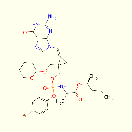 CCC[C@H](C)OC(=O)[C@H](C)NP(=O)(OCC1(COC2CCCCO2)C/C1=C/n1cnc2c(=O)[nH]c(N)nc21)Oc1ccc(Br)cc1